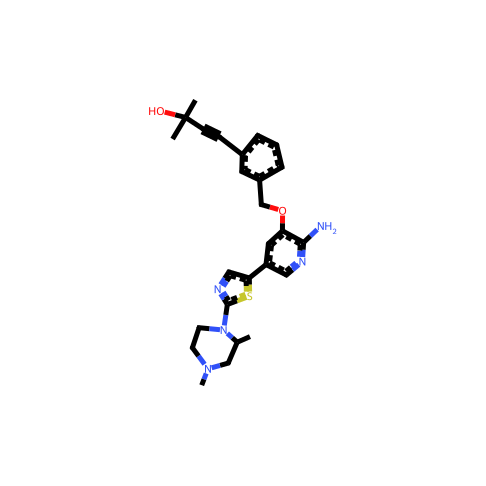 CC1CN(C)CCN1c1ncc(-c2cnc(N)c(OCc3cccc(C#CC(C)(C)O)c3)c2)s1